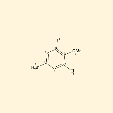 Bc1cc(C)c(OC)c(Cl)c1